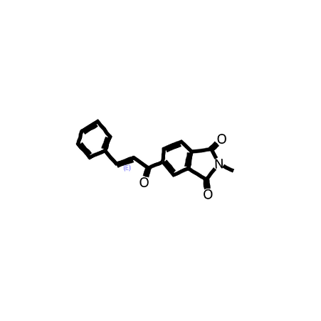 CN1C(=O)c2ccc(C(=O)/C=C/c3ccccc3)cc2C1=O